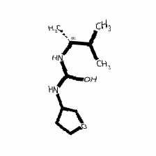 CC(C)[C@@H](C)NC(O)NC1CCOC1